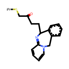 CC(C)SCC(=O)CCC1N=C2C=CC=CN2Cc2ccccc21